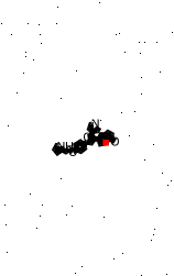 O=C1CCc2cc(-c3cc(-c4ccc(OCCC5CCCN5)cc4)oc3-c3ccncc3)ccc21